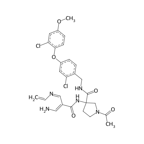 C=C/N=C\C(=C/N)C(=O)NC1(C(=O)NCc2ccc(Oc3ccc(OC)cc3Cl)cc2Cl)CCN(C(C)=O)C1